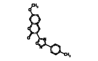 COc1ccc2cc(-c3nc(-c4ccc(C)cc4)no3)c(=O)oc2c1